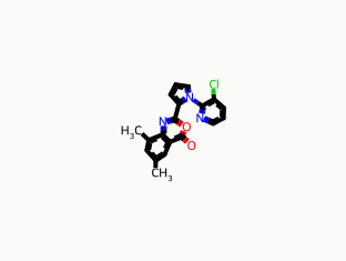 Cc1cc(C)c2nc(-c3cccn3-c3ncccc3Cl)oc(=O)c2c1